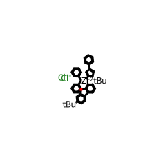 CC(C)(C)c1ccc2c(c1)Cc1c-2ccc(C(C)(C)C)[c]1[Zr+2]([C]1=CC(c2ccccc2)=CC1)=[C](c1ccccc1)c1ccccc1.[Cl-].[Cl-]